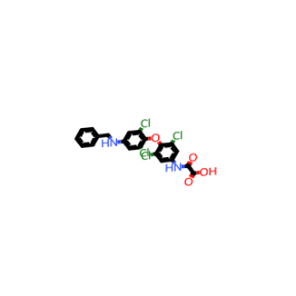 O=C(O)C(=O)Nc1cc(Cl)c(Oc2c(Cl)cc(NCc3ccccc3)cc2Cl)c(Cl)c1